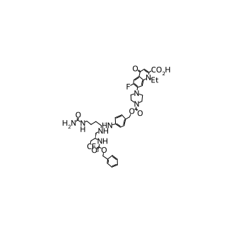 CCn1c(C(=O)O)cc(=O)c2cc(F)c(N3CCN(C(=O)OCc4ccc(NC[C@@H](CCCNC(N)=O)NC[C@H](CC(F)(F)F)NC(=O)OCc5ccccc5)cc4)CC3)cc21